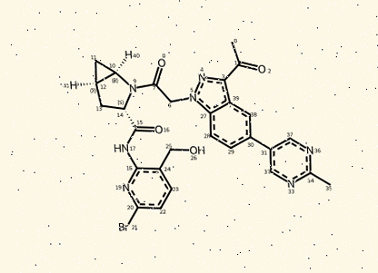 CC(=O)c1nn(CC(=O)N2[C@@H]3C[C@@H]3C[C@H]2C(=O)Nc2nc(Br)ccc2CO)c2ccc(-c3cnc(C)nc3)cc12